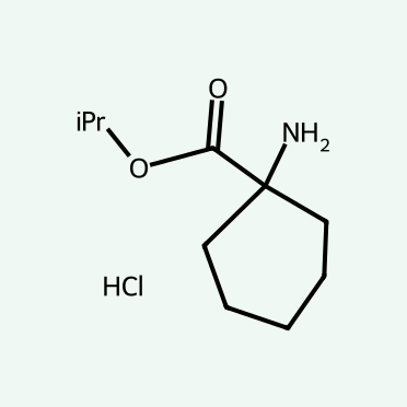 CC(C)OC(=O)C1(N)CCCCC1.Cl